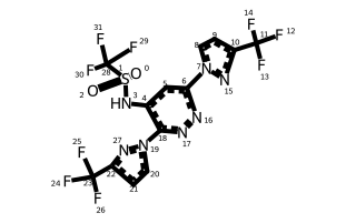 O=S(=O)(Nc1cc(-n2ccc(C(F)(F)F)n2)nnc1-n1ccc(C(F)(F)F)n1)C(F)(F)F